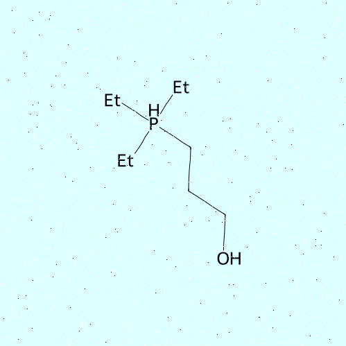 CC[PH](CC)(CC)CCCO